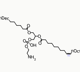 CCCCCCCC/C=C\CCCCCCCC(=O)OC(COC(=O)CCCCCCCCCCCCCCC)COP(=O)(O)OCCN